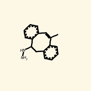 C/C1=C/c2ccccc2C(NN)Cc2ccccc21